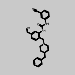 N#Cc1cccc(NC(=O)Nc2cc(CO)ccc2CN2CCC(Cc3ccccc3)CC2)c1